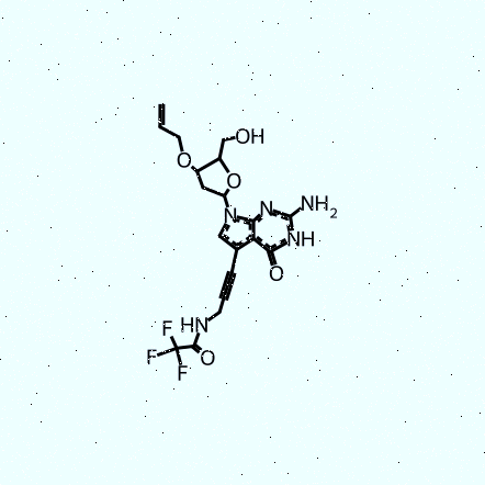 C=CCOC1CC(n2cc(C#CCNC(=O)C(F)(F)F)c3c(=O)[nH]c(N)nc32)OC1CO